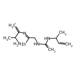 C=CC(C)NC(=C)NC/C(CC)=N/C(=C)C(C)N